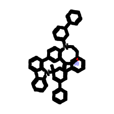 C=C1/C=C\CCN(C2=CC=CC(c3ccccc3)C2)c2ccc(-c3cccc4c5ccccc5n(C5(C)C=C(c6ccccc6)C=C(c6ccccc6)C5)c34)cc21